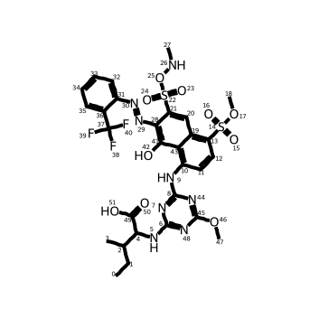 CCC(C)C(Nc1nc(Nc2ccc(S(=O)(=O)OC)c3cc(S(=O)(=O)ONC)c(N=Nc4ccccc4C(F)(F)F)c(O)c23)nc(OC)n1)C(=O)O